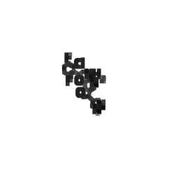 C[C@@H](Oc1c(N)ncc2c(-c3cnn(C)c3)coc12)c1c(F)ccc(F)c1Cl